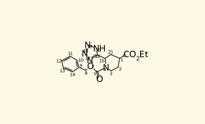 CCOC(=O)C1CCN(C(=O)OCc2ccccc2)C(c2nnn[nH]2)C1